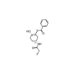 O=C(CF)N[C@@H]1CC[C@H](O)[C@@H](SC(=O)c2ccccc2)C1